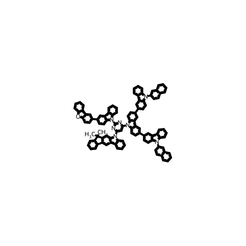 CC1(C)c2ccccc2-c2cc3c4ccccc4n(-c4cc(-n5c6ccc(-c7ccc8c(c7)c7ccccc7n8-c7ccc8ccccc8c7)cc6c6cc(-c7ccc8c(c7)c7ccccc7n8-c7ccc8ccccc8c7)ccc65)nc(-n5c6ccccc6c6cc(-c7ccc8oc9ccccc9c8c7)ccc65)n4)c3cc21